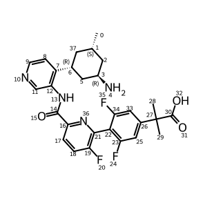 C[C@@H]1C[C@@H](N)C[C@H](c2ccncc2NC(=O)c2ccc(F)c(-c3c(F)cc(C(C)(C)C(=O)O)cc3F)n2)C1